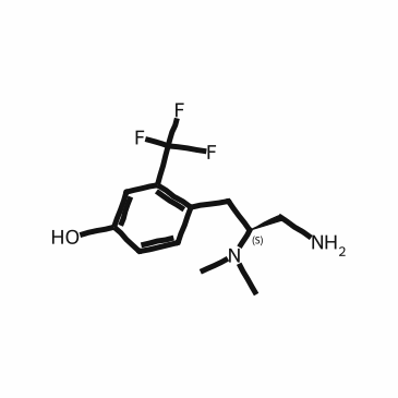 CN(C)[C@H](CN)Cc1ccc(O)cc1C(F)(F)F